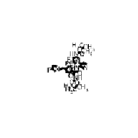 CC(C)(C)OC(=O)Nc1oc2cc(CCN3CC[C@@H](F)C3)cnc2c1C(=O)Nc1cnccc1N1C[C@@H](NC(=O)OC(C)(C)C)C[C@@H](C(F)(F)F)C1